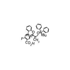 C[C@H](CO[Si](c1ccccc1)(c1ccccc1)C(C)(C)C)[C@@H](C)Oc1ccccc1-c1ccc(C(=O)O)c(F)c1